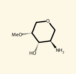 CO[C@@H]1COC[C@@H](N)[C@@H]1O